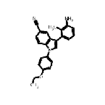 CCOc1ccc(-n2cc(-c3cccc(N)c3C)c3cc(C#N)ccc32)cc1